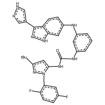 CC(C)(C)c1cc(NC(=O)Nc2cccc(Nc3ccc4c(-c5cn[nH]c5)n[nH]c4c3)c2)n(-c2cc(F)ccc2F)n1